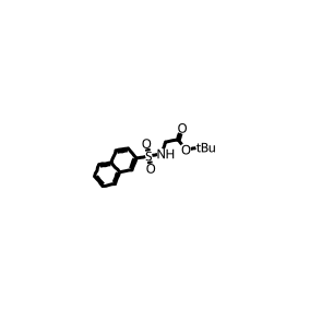 CC(C)(C)OC(=O)CNS(=O)(=O)c1ccc2ccccc2c1